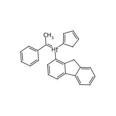 C[C](c1ccccc1)=[Hf]([C]1=CC=CC1)[c]1cccc2c1Cc1ccccc1-2